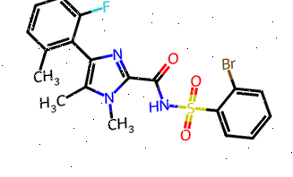 Cc1cccc(F)c1-c1nc(C(=O)NS(=O)(=O)c2ccccc2Br)n(C)c1C